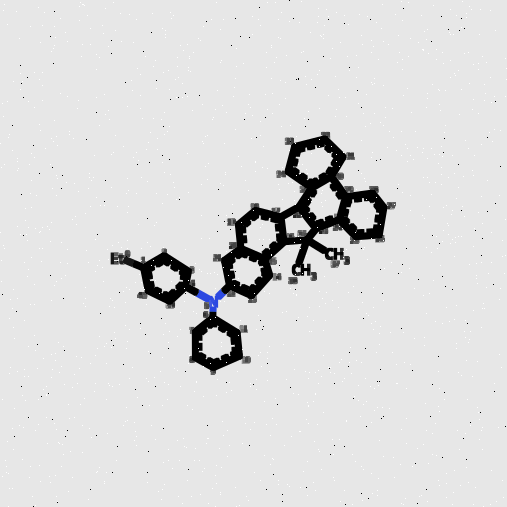 CCc1ccc(N(c2ccccc2)c2ccc3c4c(ccc3c2)-c2c(c3ccccc3c3ccccc23)C4(C)C)cc1